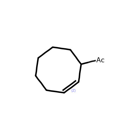 CC(=O)C1/C=C\CCCCC1